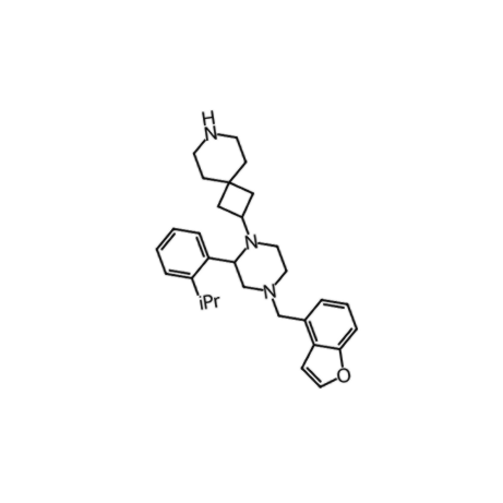 CC(C)c1ccccc1C1CN(Cc2cccc3occc23)CCN1C1CC2(CCNCC2)C1